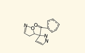 O=C(c1ccccc1)C1(C2CC=NO2)C=CN=N1